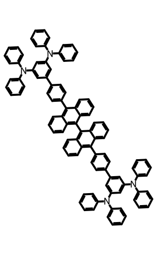 c1ccc(N(c2ccccc2)c2cc(-c3ccc(-c4c5ccccc5c(-c5c6ccccc6c(-c6ccc(-c7cc(N(c8ccccc8)c8ccccc8)cc(N(c8ccccc8)c8ccccc8)c7)cc6)c6ccccc56)c5ccccc45)cc3)cc(N(c3ccccc3)c3ccccc3)c2)cc1